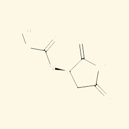 CCCCOC(=O)N[C@@H]1CC(=O)OC1=O